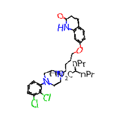 CCCC(CCC)C(=O)O.O=C1CCc2ccc(OCCCCN3CCN(c4cccc(Cl)c4Cl)CC3)cc2N1